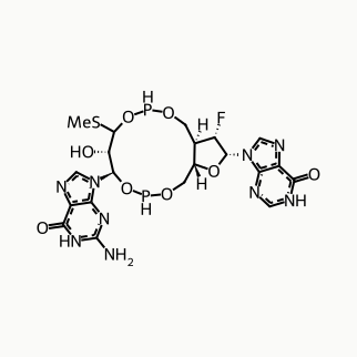 CSC1OPOC[C@H]2[C@H](F)[C@H](n3cnc4c(=O)[nH]cnc43)O[C@@H]2COPO[C@@H](n2cnc3c(=O)[nH]c(N)nc32)[C@@H]1O